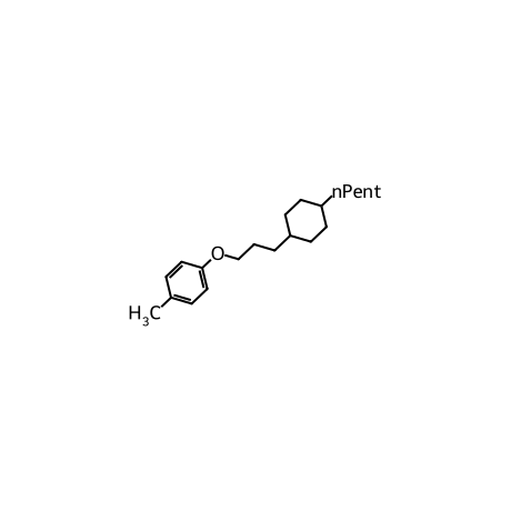 CCCCCC1CCC(CCCOc2ccc(C)cc2)CC1